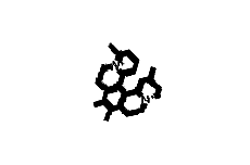 Cc1cc[n+]2c(c1)-c1c(c(C)c(C)c3c1-c1cccc(C)[n+]1CC3)CC2